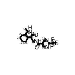 Cc1[nH]c(=O)c(CNC(=O)c2cnc(C(F)(F)F)nc2)c2c1CCCC2